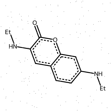 CCNc1ccc2cc(NCC)c(=O)oc2c1